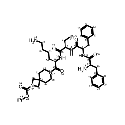 CC(C)C[C@@H](NC(=O)[C@@H](Cc1ccccc1)NC(=O)[C@H](N)Cc1ccccc1)C(=O)N[C@H](CCCCN)C(=O)N1CCC2(CC1)CN(C(=O)OC(C)C)C2